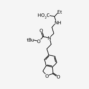 CCC(NCCN(CCc1ccc2c(c1)COC2=O)C(=O)OC(C)(C)C)C(=O)O